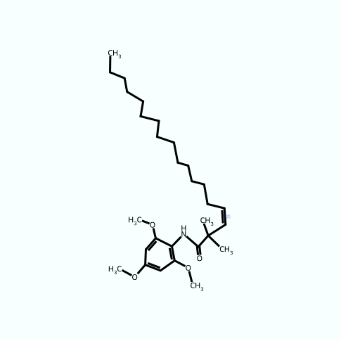 CCCCCCCCCCCCCC/C=C\C(C)(C)C(=O)Nc1c(OC)cc(OC)cc1OC